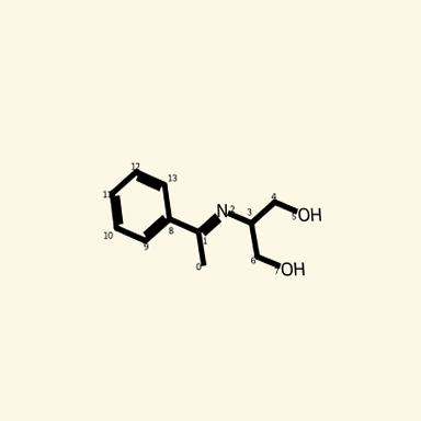 CC(=NC(CO)CO)c1ccccc1